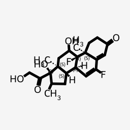 CC1C[C@H]2[C@@H]3C=C(F)C4=CC(=O)CC[C@]4(C)[C@@]3(F)C(O)C[C@]2(C)[C@@]1(O)C(=O)CO